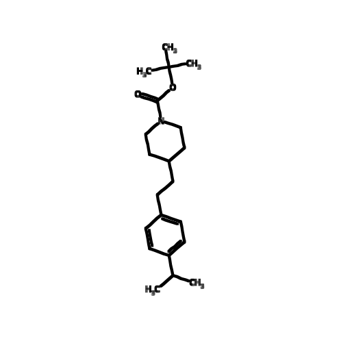 CC(C)c1ccc(CCC2CCN(C(=O)OC(C)(C)C)CC2)cc1